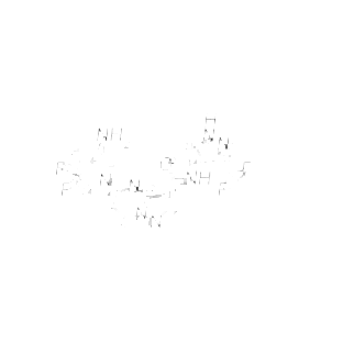 N[C@H]1CN(c2ccn3ncc(C(=O)Nc4c[nH]nc4C(F)F)c3n2)CC(F)(F)C1